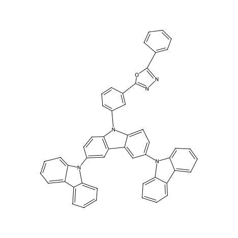 c1ccc(-c2nnc(-c3cccc(-n4c5ccc(-n6c7ccccc7c7ccccc76)cc5c5cc(-n6c7ccccc7c7ccccc76)ccc54)c3)o2)cc1